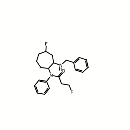 O=C(CCF)N(c1ccccc1)C1CCCC(F)CC1NCc1ccccc1